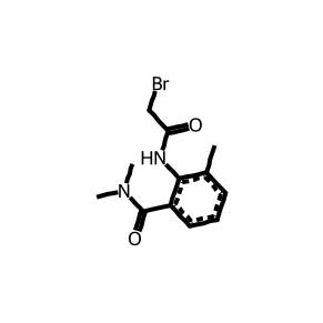 Cc1cccc(C(=O)N(C)C)c1NC(=O)CBr